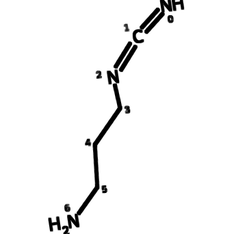 N=C=NCCCN